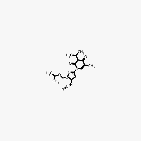 CC1=CN([C@H]2CC(N=[N+]=[N-])[C@@H](COC(C)C)O2)C(=O)C(C(C)C)C1=O